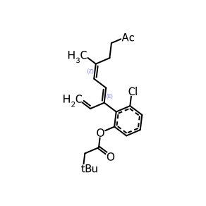 C=C/C(=C\C=C(\C)CCC(C)=O)c1c(Cl)cccc1OC(=O)CC(C)(C)C